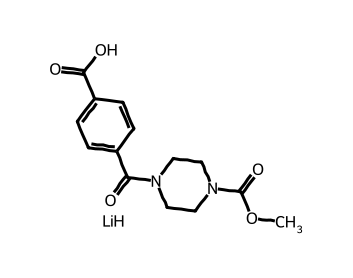 COC(=O)N1CCN(C(=O)c2ccc(C(=O)O)cc2)CC1.[LiH]